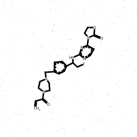 C=CC(=O)N1CCN(Cc2ccc(C(CF)Nc3nccc(N4CCOC4=O)n3)cc2)CC1